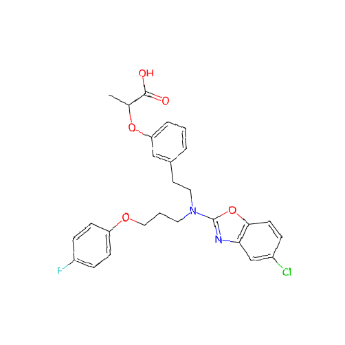 CC(Oc1cccc(CCN(CCCOc2ccc(F)cc2)c2nc3cc(Cl)ccc3o2)c1)C(=O)O